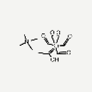 C[C](O)=[Cr]([CH]=O)([CH]=O)([CH]=O)([CH]=O)[CH]=O.C[N+](C)(C)C